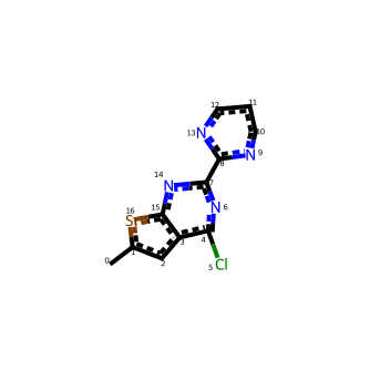 Cc1cc2c(Cl)nc(-c3ncccn3)nc2s1